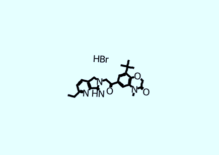 Br.CCc1ccc2c(n1)C(=N)N(CC(=O)c1cc3c(c(C(C)(C)C)c1)OCC(=O)N3C)C2